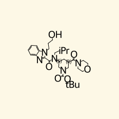 CC(C)CN(C(=O)c1nc2ccccc2n1CCCO)[C@H]1C[C@@H](C(=O)N2CCOCC2)CN(C(=O)OC(C)(C)C)C1